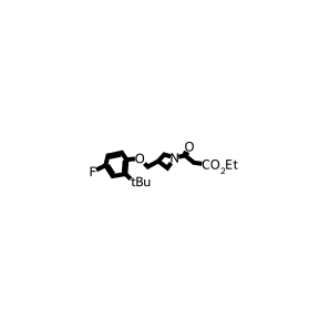 CCOC(=O)CC(=O)N1CC(COc2ccc(F)cc2C(C)(C)C)C1